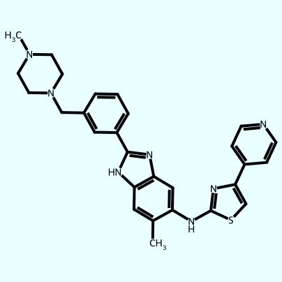 Cc1cc2[nH]c(-c3cccc(CN4CCN(C)CC4)c3)nc2cc1Nc1nc(-c2ccncc2)cs1